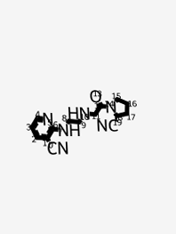 N#Cc1cccnc1NCCNCC(=O)N1CCC[C@H]1C#N